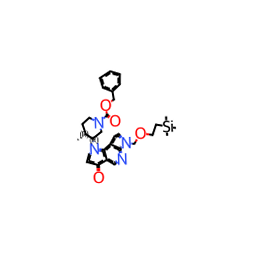 C[C@@H]1CCN(C(=O)OCc2ccccc2)C[C@@H]1n1ccc(=O)c2cnc3c(ccn3COCC[Si](C)(C)C)c21